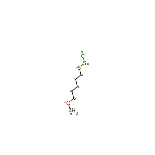 BOCCCCCSSCl